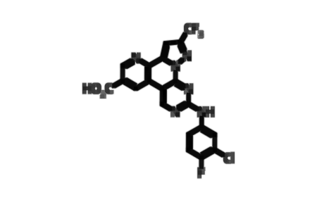 O=C(O)c1cnc2c(c1)c1cnc(Nc3ccc(F)c(Cl)c3)nc1n1nc(C(F)(F)F)cc21